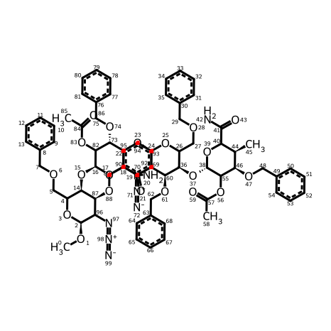 CO[C@H]1OC(COCc2ccccc2)[C@@H](O[C@@H]2OC(C(N)=O)[C@@H](O[C@H]3OC(COCc4ccccc4)[C@@H](O[C@@H]4OC(C(N)=O)[C@@H](C)[C@@H](OCc5ccccc5)C4OC(C)=O)[C@@H](OCc4ccccc4)C3N=[N+]=[N-])[C@@H](OCc3ccccc3)C2OC(C)=O)[C@@H](OCc2ccccc2)C1N=[N+]=[N-]